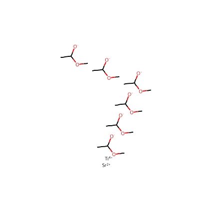 COC(C)[O-].COC(C)[O-].COC(C)[O-].COC(C)[O-].COC(C)[O-].COC(C)[O-].[Sr+2].[Ti+4]